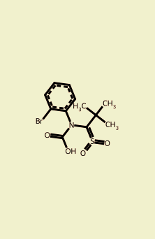 CC(C)(C)C(N(C(=O)O)c1ccccc1Br)=S(=O)=O